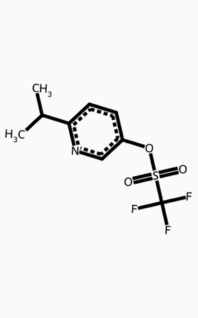 CC(C)c1ccc(OS(=O)(=O)C(F)(F)F)cn1